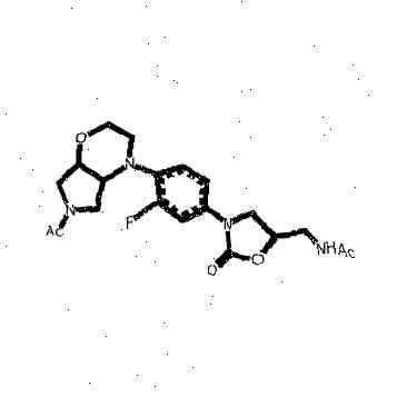 CC(=O)NCC1CN(c2ccc(N3CCOC4CN(C(C)=O)CC43)c(F)c2)C(=O)O1